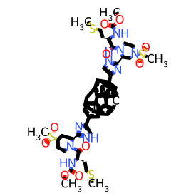 COC(=O)N[C@@H](CCSC)C(=O)N1CCC(S(C)(=O)=O)C[C@H]1c1nc(-c2ccc(-c3cc4ccc3CCc3ccc(c(-c5ccc(-c6c[nH]c([C@@H]7CN(S(C)(=O)=O)CCN7C(=O)[C@H](CCSC)NC(=O)OC)n6)cc5)c3)CC4)cc2)c[nH]1